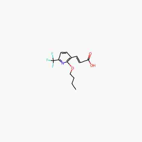 CCCCOc1nc(C(F)(F)F)ccc1/C=C/C(=O)O